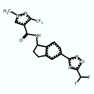 Cn1cc(C(=O)NC2CCc3cc(-c4noc(C(F)F)n4)ccc32)c(C(F)(F)F)n1